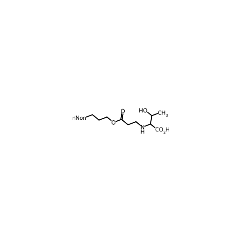 CCCCCCCCCCCCOC(=O)CCNC(C(=O)O)C(C)O